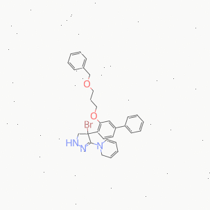 BrC1(c2ccc(-c3ccccc3)cc2OCCCOCc2ccccc2)CNN=C1N1C=CC=CC1